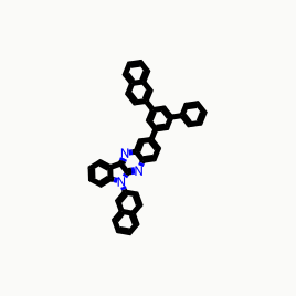 c1ccc(-c2cc(-c3ccc4ccccc4c3)cc(-c3ccc4nc5c(nc4c3)c3ccccc3n5-c3ccc4ccccc4c3)c2)cc1